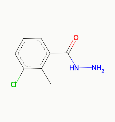 Cc1c(Cl)cccc1C(=O)NN